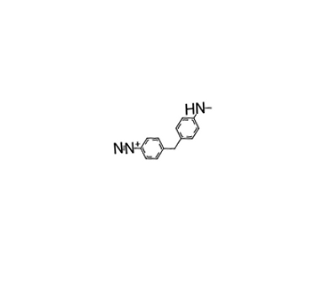 CNc1ccc(Cc2ccc([N+]#N)cc2)cc1